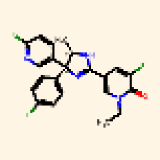 CCn1cc(C2=N[C@](c3ccc(F)cc3)(c3ccc(F)nc3)[C@@H](C)N2)cc(F)c1=O